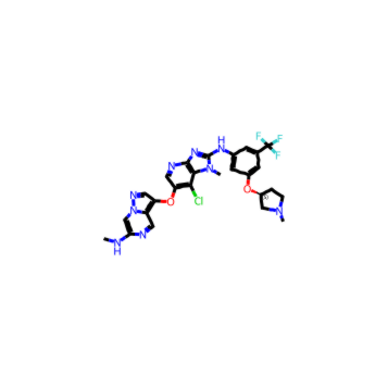 CNc1cn2ncc(Oc3cnc4nc(Nc5cc(O[C@H]6CCN(C)C6)cc(C(F)(F)F)c5)n(C)c4c3Cl)c2cn1